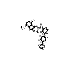 Cc1ccc(F)c2c1cc(C)n2CC[AsH]c1cc(-c2ccc(-c3ncno3)cc2)ncn1